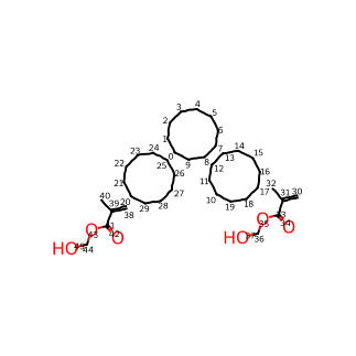 C1CCCCCCCCC1.C1CCCCCCCCC1.C1CCCCCCCCC1.C=C(C)C(=O)OCO.C=C(C)C(=O)OCO